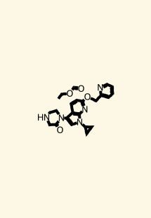 CCOC=O.O=C1CNCCN1c1cn(C2CC2)c2nc(OCc3ccccn3)ccc12